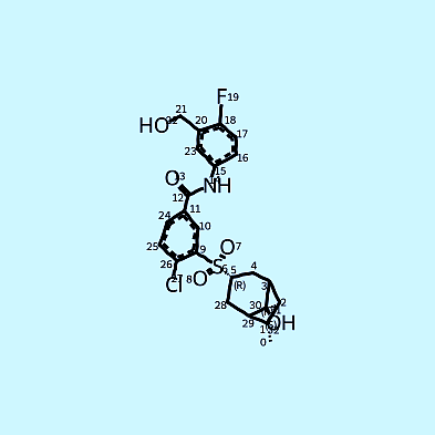 C[C@H]1CC2C[C@@H](S(=O)(=O)c3cc(C(=O)Nc4ccc(F)c(CO)c4)ccc3Cl)CC1[C@]2(C)O